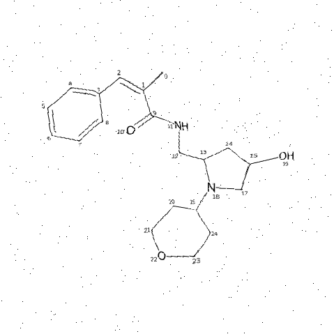 CC(=Cc1ccccc1)C(=O)NCC1CC(O)CN1C1CCOCC1